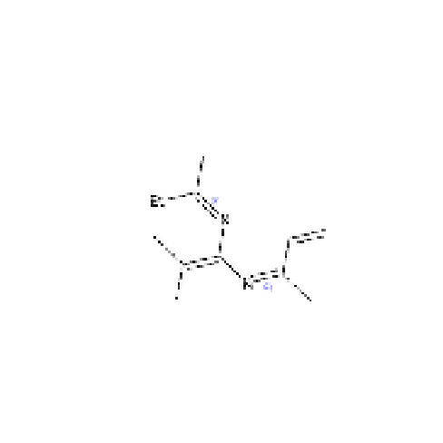 C=C/C(C)=N\C(/N=C(/C)CC)=C(C)C